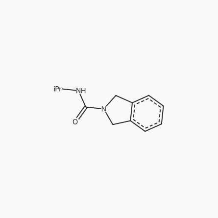 CC(C)NC(=O)N1Cc2ccccc2C1